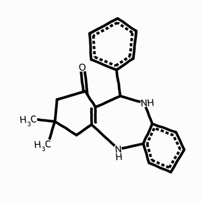 CC1(C)CC(=O)C2=C(C1)Nc1ccccc1NC2c1ccccc1